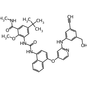 C#Cc1cc(CO)cc(Nc2cc(Oc3ccc(NC(=O)Nc4cc(C(C)(C)C)cc(C(=O)NC)c4OC)c4ccccc34)ccn2)c1